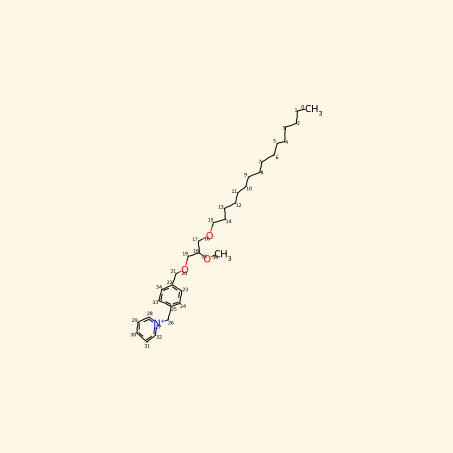 CCCCCCCCCCCCCCCCOCC(COCc1ccc(C[n+]2ccccc2)cc1)OC